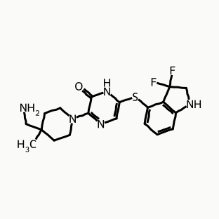 CC1(CN)CCN(c2ncc(Sc3cccc4c3C(F)(F)CN4)[nH]c2=O)CC1